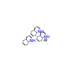 C1=CNC2CC=CCC2=C1.C1=CNC2CC=CCC2=C1.C1=CNC2CC=CCC2=C1.[Al]